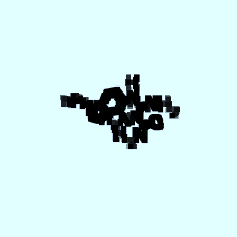 CCCn1ccc2cc(NC(N)N(N)C(N)=O)ccc21